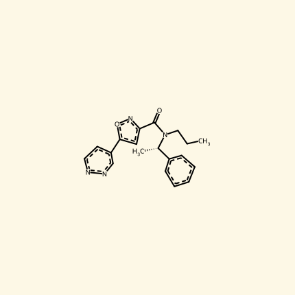 CCCN(C(=O)c1cc(-c2ccnnc2)on1)[C@@H](C)c1ccccc1